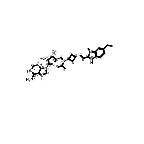 CCc1ccc2c(c1)N(C)C(CC[C@H]1C[C@H](N(C[C@H]3O[C@@H](N4CNC5C(N)NCNC54)[C@H](O)[C@@H]3O)C(C)C)C1)N2